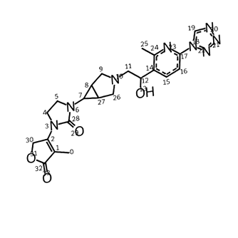 CC1=C(N2CCN(C3C4CN(CC(O)c5ccc(-n6cnnn6)nc5C)CC43)C2=O)COC1=O